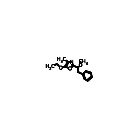 CCOc1oc(C(Cc2ccccc2)OC)nc1C